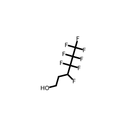 OCCC(F)C(F)(F)C(F)(F)C(F)(F)F